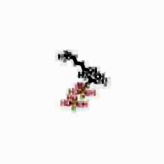 CC.CC(C)C.CCCCCC.OP(O)(O)=S.OP(O)(O)=S.[Zn]